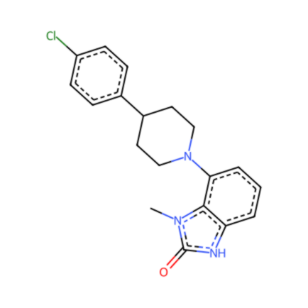 Cn1c(=O)[nH]c2cccc(N3CCC(c4ccc(Cl)cc4)CC3)c21